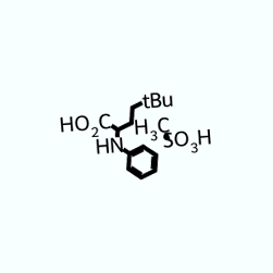 CC(C)(C)CCC(Nc1ccccc1)C(=O)O.CS(=O)(=O)O